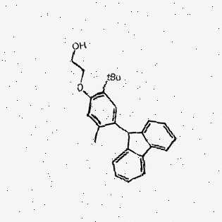 Cc1cc(OCCO)c(C(C)(C)C)cc1C1c2ccccc2-c2ccccc21